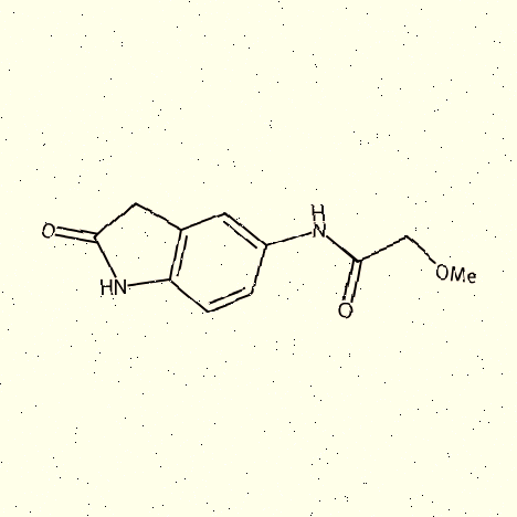 COCC(=O)Nc1ccc2c(c1)CC(=O)N2